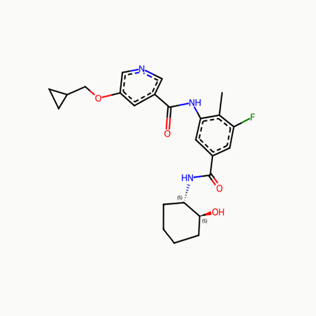 Cc1c(F)cc(C(=O)N[C@H]2CCCC[C@@H]2O)cc1NC(=O)c1cncc(OCC2CC2)c1